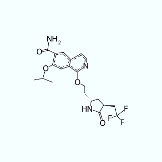 CC(C)Oc1cc2c(OCC[C@@H]3C[C@@H](CC(F)(F)F)C(=O)N3)nccc2cc1C(N)=O